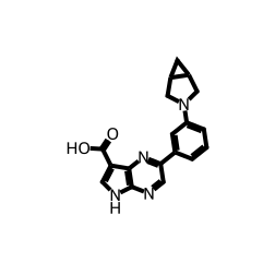 O=C(O)c1c[nH]c2ncc(-c3cccc(N4CC5CC5C4)c3)nc12